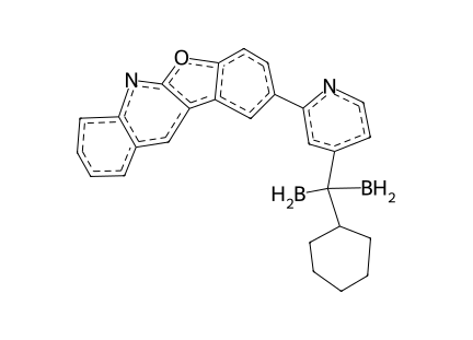 BC(B)(c1ccnc(-c2ccc3oc4nc5ccccc5cc4c3c2)c1)C1CCCCC1